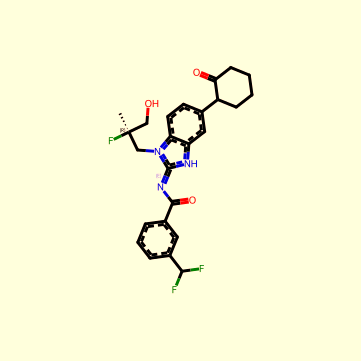 C[C@](F)(CO)Cn1/c(=N/C(=O)c2cccc(C(F)F)c2)[nH]c2cc(C3CCCCC3=O)ccc21